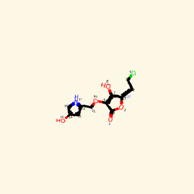 O=C1O/C(=C/CCl)C(O)=C1OCc1cc(O)c[nH]1